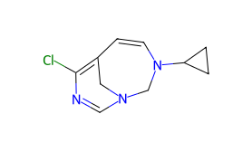 ClC1=C2C=CN(C3CC3)CN(C=N1)C2